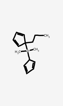 CCC[C]1([Zr]([CH3])([CH3])[CH]2C=CC=C2)C=CC=C1